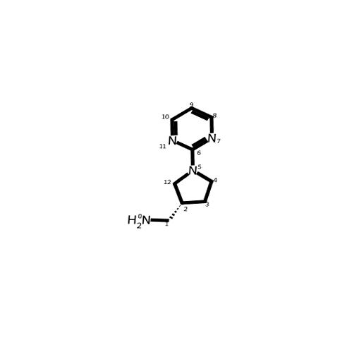 NC[C@H]1CCN(c2ncccn2)C1